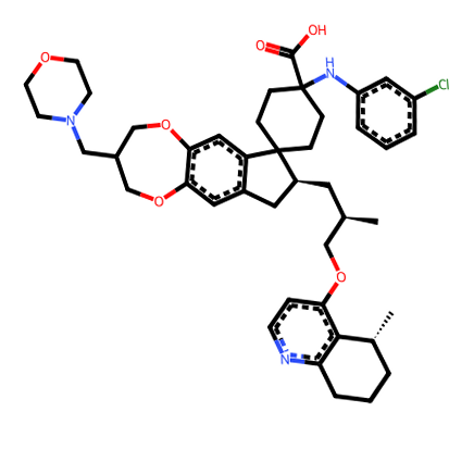 C[C@@H](COc1ccnc2c1[C@H](C)CCC2)C[C@H]1Cc2cc3c(cc2C12CCC(Nc1cccc(Cl)c1)(C(=O)O)CC2)OCC(CN1CCOCC1)CO3